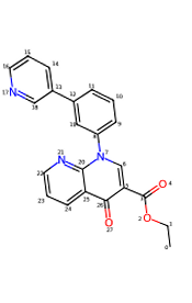 CCOC(=O)c1cn(-c2cccc(-c3cccnc3)c2)c2ncccc2c1=O